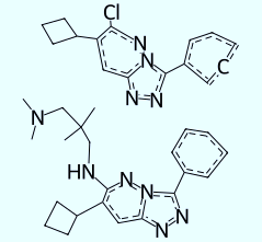 CN(C)CC(C)(C)CNc1nn2c(-c3ccccc3)nnc2cc1C1CCC1.Clc1nn2c(-c3ccccc3)nnc2cc1C1CCC1